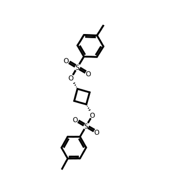 Cc1ccc(S(=O)(=O)O[C@H]2C[C@@H](OS(=O)(=O)c3ccc(C)cc3)C2)cc1